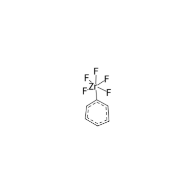 [F][Zr]([F])([F])([F])([F])[c]1ccccc1